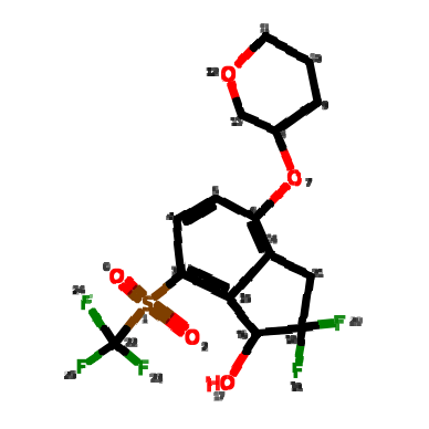 O=S(=O)(c1ccc(OC2CCCOC2)c2c1C(O)C(F)(F)C2)C(F)(F)F